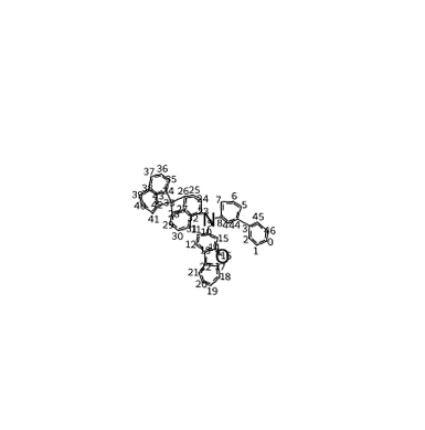 c1ccc(-c2cccc(N(c3ccc4c(c3)oc3ccccc34)c3ccc4c5c(cccc35)C43c4cccc5cccc3c45)c2)cc1